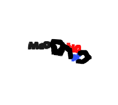 COc1ccc(CCN2CCCCC2O)cc1